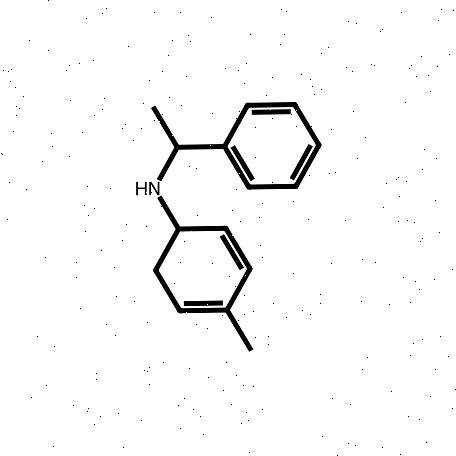 CC1=CCC(NC(C)c2ccccc2)C=C1